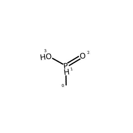 C[PH](=O)O